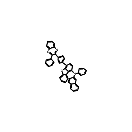 c1ccc(-c2nc3ccccc3nc2-c2ccc(-c3ccc(N(c4ccccc4)c4ccc5ccccc5c4)c4c3oc3ccccc34)cc2)cc1